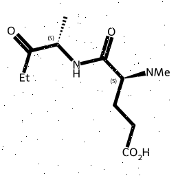 CCC(=O)[C@H](C)NC(=O)[C@H](CCC(=O)O)NC